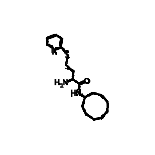 NC(CSSc1ccccn1)C(=O)NC1CCCCCCCC1